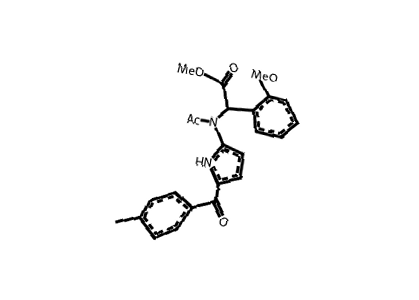 COC(=O)C(c1ccccc1OC)N(C(C)=O)c1ccc(C(=O)c2ccc(C)cc2)[nH]1